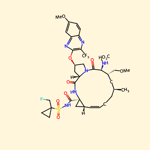 COC[C@@H]1C[C@@H](C)CC/C=C\[C@@H]2C[C@@]2(C(=O)NS(=O)(=O)C2(CF)CC2)NC(=O)[C@@H]2C[C@@H](Oc3nc4cc(OC)ccc4nc3C(F)(F)F)CN2C(=O)[C@H]1NC(=O)O